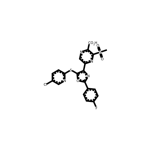 CS(=O)(=O)c1nc(-c2nc(-c3ccc(F)cc3)oc2Sc2ccc(Cl)cn2)cnc1C(=O)O